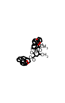 C=C(CC(C(=O)OC12CC3C4C5CC6CC78CC9CC(C57)C3C(C9)(C1)C8C4(C6)C2)C(=O)OC12CC3C4C5CC6CC78CC9CC(C57)C3C(C9)(C1)C8C4(C6)C2)C(=O)OC(C)(C)C